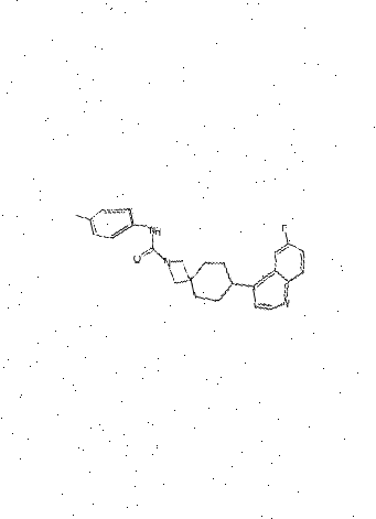 Cc1ccc(NC(=O)N2CC3(CCC(c4ccnc5ccc(F)cc45)CC3)C2)cc1